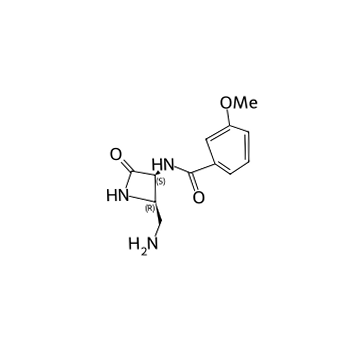 COc1cccc(C(=O)N[C@@H]2C(=O)N[C@@H]2CN)c1